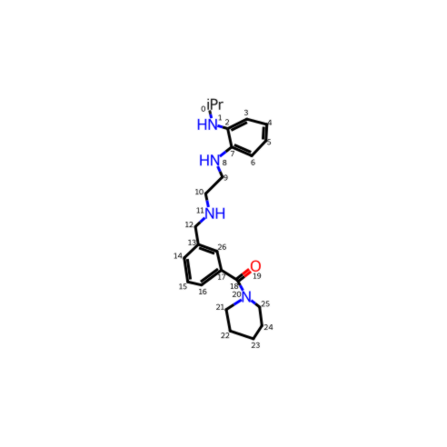 CC(C)Nc1ccccc1NCCNCc1cccc(C(=O)N2CCCCC2)c1